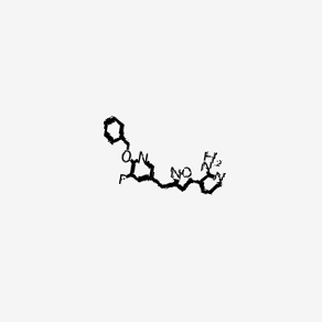 Nc1ncccc1-c1cc(Cc2cnc(OCc3ccccc3)c(F)c2)no1